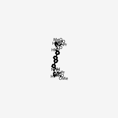 COC(=O)NC(C(=O)N1[C@@H]2C[C@@H]2C[C@H]1c1nc2ccc(-c3ccc4cc(-c5ccc6nc([C@@H]7C[C@H]8C[C@H]8N7C(=O)[C@@H](NC(=O)OC)C(C)C)[nH]c6c5)ccc4c3)cc2[nH]1)C(C)C